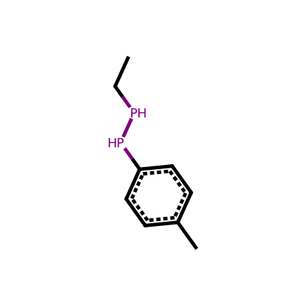 CCPPc1ccc(C)cc1